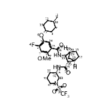 COc1cc(F)c(O[C@H]2CC[C@H](C)CC2)cc1C(=O)N[C@@H]1[C@H]2CC[C@H](C2)[C@@H]1C(=O)N[C@H]1CCCN(S(=O)(=O)C(F)(F)F)C1